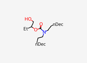 CCCCCCCCCCCCN(CCCCCCCCCCCC)C(=O)OC(CC)CO